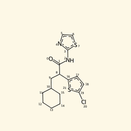 O=C(Nc1nccs1)C(CC1CCCCC1)c1ccc(Cl)s1